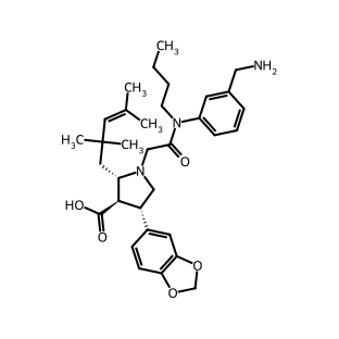 CCCCN(C(=O)CN1C[C@H](c2ccc3c(c2)OCO3)[C@@H](C(=O)O)[C@@H]1CC(C)(C)C=C(C)C)c1cccc(CN)c1